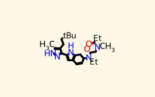 CCC(=O)N(C)CC(=O)N(CC)C1C=Cc2cc(-c3n[nH]c(C)c3CCC(C)(C)C)[nH]c2C1